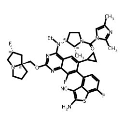 CCN(c1nc(OC[C@@]23CCCN2C[C@H](F)C3)nc2c(F)c(-c3ccc(F)c4sc(N)c(C#N)c34)c(C3CC3)cc12)[C@@H]1CCN(C(=O)n2cc(C)nc2C)[C@@H]1C